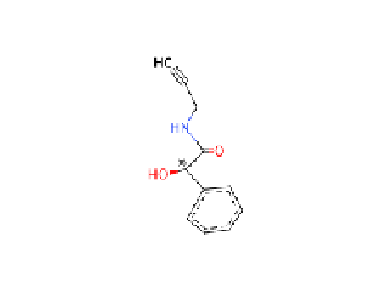 C#CCNC(=O)[C@H](O)c1ccccc1